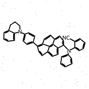 N#Cc1ccccc1N(c1ccccc1)c1ccc2ccc3c(-c4ccc(N5CCCc6ccccc65)cc4)ccc4ccc1c2c43